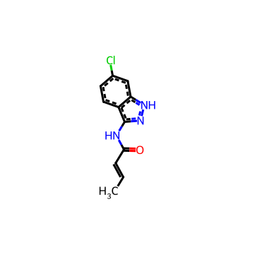 CC=CC(=O)Nc1n[nH]c2cc(Cl)ccc12